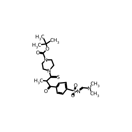 CC(C(=O)c1ccc(S(=O)(=O)N=CN(C)C)cc1)C(=S)N1CCN(C(=O)OC(C)(C)C)CC1